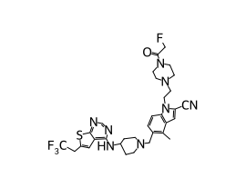 Cc1c(CN2CCC(Nc3ncnc4sc(CC(F)(F)F)cc34)CC2)ccc2c1cc(C#N)n2CCN1CCN(C(=O)CF)CC1